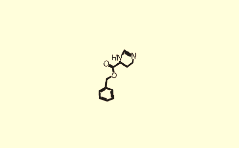 O=C(OCc1ccccc1)C1CCN=CN1